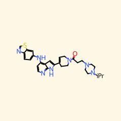 CC(C)N1CCN(CCC(=O)N2CC=C(c3cc4c(Nc5ccc6ncsc6c5)ccnc4[nH]3)CC2)CC1